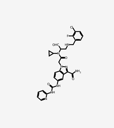 NC(=O)c1nn(CC(=O)N(C(C=O)CNCc2cccc(Cl)c2F)C2CC2)c2ccc(NC(=O)Nc3ccccn3)cc12